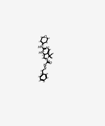 CC1(C)C2=CN=C(NC3CCOCC3)NC2CN1C(=O)N=NCc1ccccc1